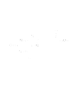 COC(=O)/C=C/c1nc2c(c(=O)n(C)c(=O)n2C)n1C